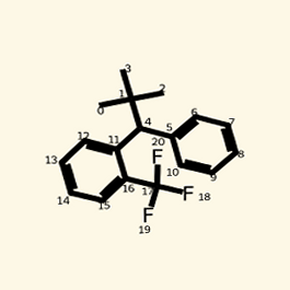 CC(C)(C)C(c1ccccc1)c1ccccc1C(F)(F)F